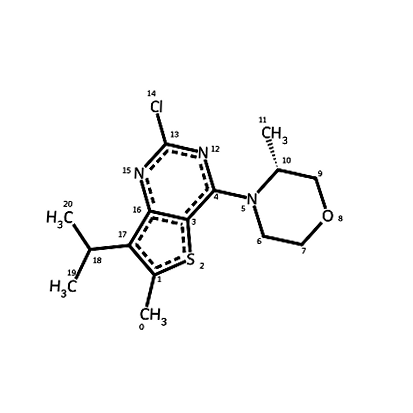 Cc1sc2c(N3CCOC[C@H]3C)nc(Cl)nc2c1C(C)C